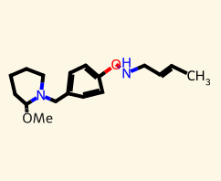 CC=CCNOc1ccc(CN2CCCCC2OC)cc1